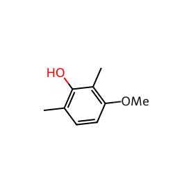 COc1ccc(C)c(O)c1C